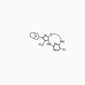 Cc1c2c(nn1C1CC3CCC(C1)O3)OCCCNc1nc(ncc1Cl)N2